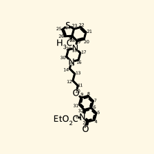 CCOC(=O)n1c(=O)ccc2ccc(OCCCCN3CCN(C4=CC=CC5SC=CC45C)CC3)cc21